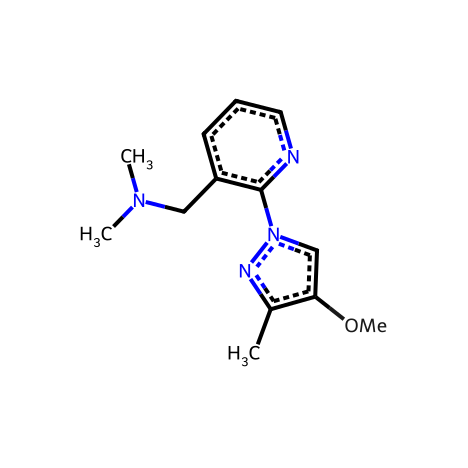 COc1cn(-c2ncccc2CN(C)C)nc1C